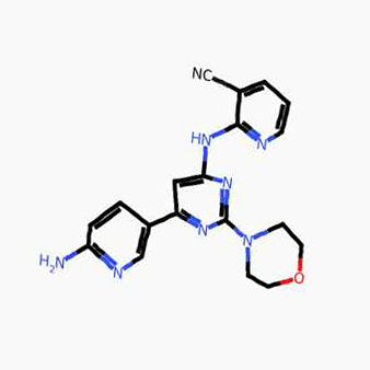 N#Cc1cccnc1Nc1cc(-c2ccc(N)nc2)nc(N2CCOCC2)n1